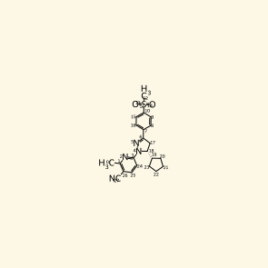 Cc1nc(N2N=C(c3ccc(S(C)(=O)=O)cc3)C[C@@H]2C2CCCC2)ccc1C#N